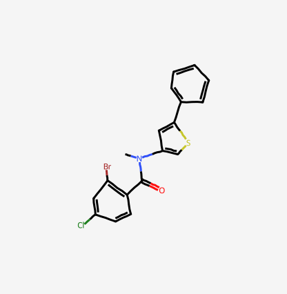 CN(C(=O)c1ccc(Cl)cc1Br)c1csc(-c2ccccc2)c1